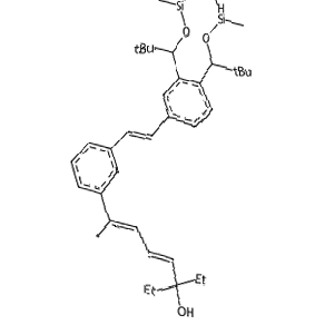 CCC(O)(C=CC=C(C)c1cccc(C=Cc2ccc(C(O[SiH](C)C)C(C)(C)C)c(C(O[SiH](C)C)C(C)(C)C)c2)c1)CC